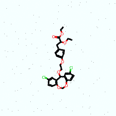 CCOC(=O)C(Cc1ccc(OCCOC2c3cc(Cl)ccc3OCOc3ccc(Cl)cc32)cc1)OCC